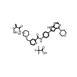 C=C(C(=O)N[C@@H]1CCCN(Cc2ccnc(C(=O)Nc3ccc(-c4cc5c(N6CCOCC6)ncnc5[nH]4)cc3)c2)C1)[C@@H](C)N.O=C(O)C(F)(F)F